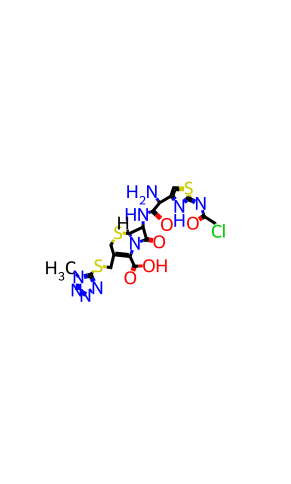 Cn1nnnc1SCC1=C(C(=O)O)N2C(=O)C(NC(=O)C(N)c3cs/c(=N/C(=O)CCl)[nH]3)[C@H]2SC1